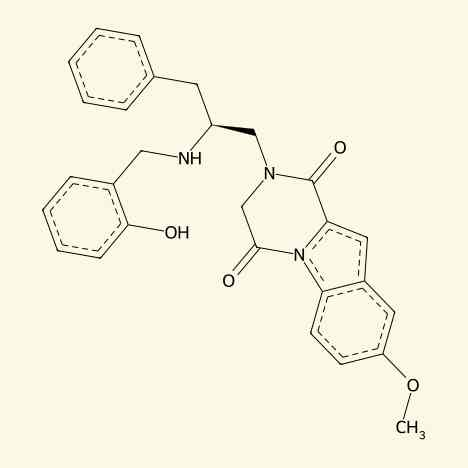 COc1ccc2c(c1)cc1n2C(=O)CN(C[C@H](Cc2ccccc2)NCc2ccccc2O)C1=O